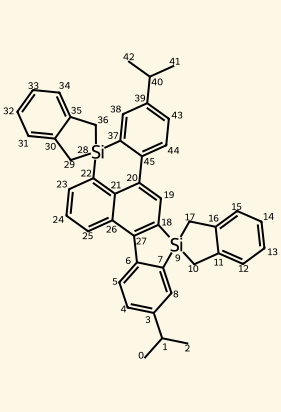 CC(C)c1ccc2c(c1)[Si]1(Cc3ccccc3C1)c1cc3c4c(cccc4c1-2)[Si]1(Cc2ccccc2C1)c1cc(C(C)C)ccc1-3